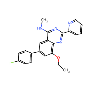 CCOc1cc(-c2ccc(F)cc2)cc2c(NC)nc(-c3ccccn3)nc12